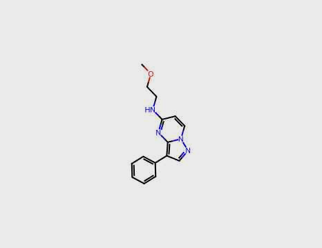 COCCNc1ccn2ncc(-c3ccccc3)c2n1